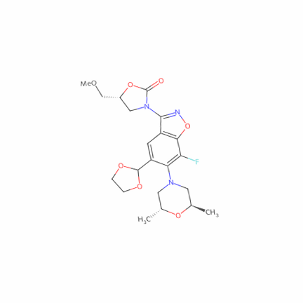 COC[C@H]1CN(c2noc3c(F)c(N4C[C@@H](C)O[C@H](C)C4)c(C4OCCO4)cc23)C(=O)O1